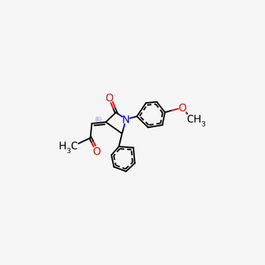 COc1ccc(N2C(=O)/C(=C/C(C)=O)C2c2ccccc2)cc1